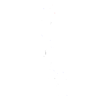 O=c1c2ccncc2cnn1[C@H]1CC[C@@H](c2cc(Nc3ccc4c(c3F)CNS4(=O)=O)n[nH]2)C1